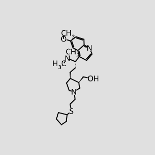 COc1ccc2nccc([C@H](CC[C@@H]3CCN(CCSC4CCCC4)C[C@@H]3CO)N(C)C)c2c1